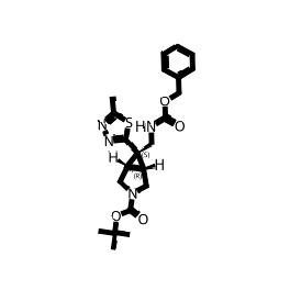 Cc1nnc([C@]2(CNC(=O)OCc3ccccc3)[C@@H]3CN(C(=O)OC(C)(C)C)C[C@@H]32)s1